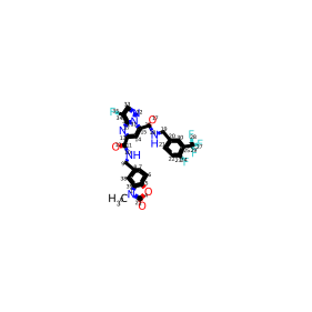 Cn1c(=O)oc2ccc(CNC(=O)c3cc(C(=O)NCc4ccc(F)c(C(F)(F)F)c4)n4ncc(F)c4n3)cc21